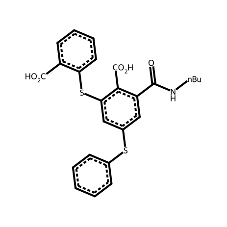 CCCCNC(=O)c1cc(Sc2ccccc2)cc(Sc2ccccc2C(=O)O)c1C(=O)O